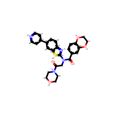 O=C(CN(C(=O)c1ccc2c(c1)OCCO2)c1nc2ccc(-c3ccncc3)cc2s1)N1CCOCC1